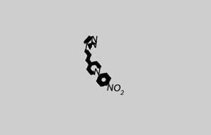 O=[N+]([O-])c1ccc(N2CCC(CCCn3ccnn3)CC2)cc1